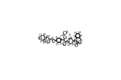 O=C(C(OCC(F)(F)F)c1ccc(OCC(O)CN2CCOCC2)cc1)N1CCC(N2C(=O)OCc3ccccc32)CC1